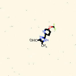 Cc1[nH]c(-c2ccc(OC(F)F)cn2)nc1C=O